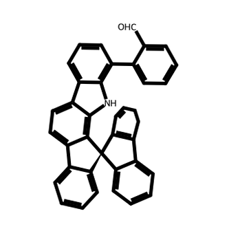 O=Cc1ccccc1-c1cccc2c1[nH]c1c3c(ccc12)-c1ccccc1[C@]31C2=C(CCC=C2)c2ccccc21